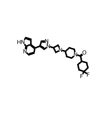 O=C(C1CCC(F)(F)CC1)N1CCC(N2C[C](n3cc(-c4ccnc5[nH]ccc45)cn3)C2)CC1